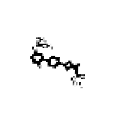 COC(=O)C1CC12CC(c1ccc(-c3cc(OC(C)C)ccc3F)cc1)C2